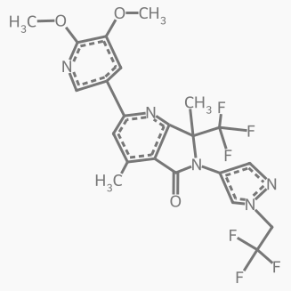 COc1cc(-c2cc(C)c3c(n2)C(C)(C(F)(F)F)N(c2cnn(CC(F)(F)F)c2)C3=O)cnc1OC